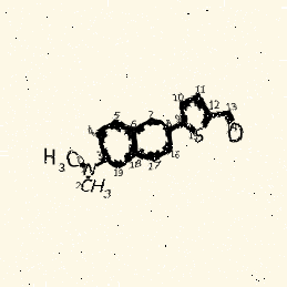 CN(C)c1ccc2cc(-c3ccc(C=O)s3)ccc2c1